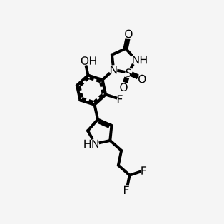 O=C1CN(c2c(O)ccc(C3=CC(CCC(F)F)NC3)c2F)S(=O)(=O)N1